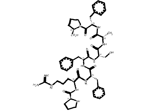 C[C@H](NC(=O)[C@H](CO)NC(=O)[C@H](Cc1ccccc1)NC(=O)[C@H](Cc1ccccc1)NC(=O)[C@H](CCCNC(=N)N)NC(=O)[C@@H]1CCCN1)C(=O)N[C@@H](Cc1ccccc1)C(=O)N1CCC[C@@H]1C(=O)O